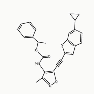 Cc1noc(C#Cc2cc3ccc(C4CC4)cc3s2)c1NC(=O)OC(C)c1ccccc1